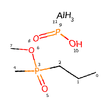 CCCP(C)(=O)OC.O=PO.[AlH3]